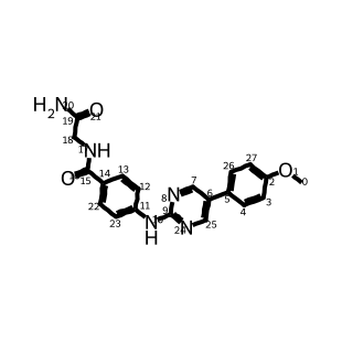 COc1ccc(-c2cnc(Nc3ccc(C(=O)NCC(N)=O)cc3)nc2)cc1